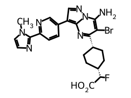 Cn1ccnc1-c1ccc(-c2cnn3c(N)c(Br)c([C@H]4CC[C@@H](C(F)C(=O)O)CC4)nc23)cn1